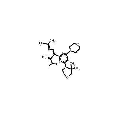 C=C(/C(=C\N=C(/C)N)c1nc(N2CCOCC2)nc(N2CCOCC2(C)C)n1)C(F)F